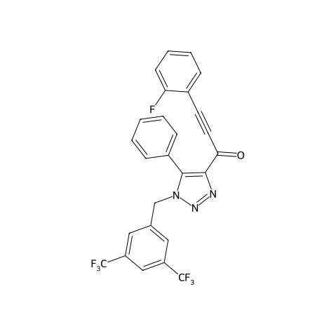 O=C(C#Cc1ccccc1F)c1nnn(Cc2cc(C(F)(F)F)cc(C(F)(F)F)c2)c1-c1ccccc1